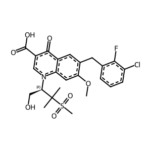 COc1cc2c(cc1Cc1cccc(Cl)c1F)c(=O)c(C(=O)O)cn2[C@H](CO)C(C)(C)S(C)(=O)=O